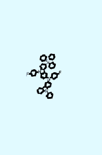 Fc1ccc(N(c2ccc3c(c2)c2ccccc2n3-c2ccccc2)c2ccc3c(c2)c2cc([Si](c4ccccc4)(c4ccccc4)c4ccccc4)ccc2n3-c2ccc(F)cc2)cc1